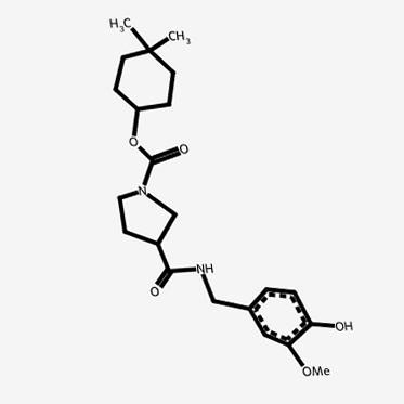 COc1cc(CNC(=O)C2CCN(C(=O)OC3CCC(C)(C)CC3)C2)ccc1O